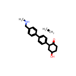 C=C.CNCc1ccc(-c2ccc(C3CC(O)CCC3=O)cc2)cc1